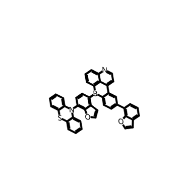 c1ccc2c(c1)Sc1ccccc1N2c1ccc(B2c3ccc(-c4cccc5ccoc45)cc3-c3ccnc4cccc2c34)c2ccoc12